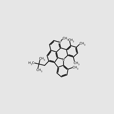 Cc1cc(C)c2c(c1C)c1c3c(cc[n+]1C)cc(CC(C)(C)C)c1c4cccc(C)c4n2c13